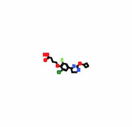 O=C(O)CCCOc1c(F)cc(-c2ccnc(OC3CCC3)n2)cc1Cl